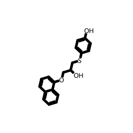 Oc1ccc(SCC(O)COc2cccc3ccccc23)cc1